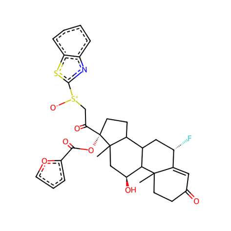 CC12CCC(=O)C=C1[C@@H](F)CC1C2[C@@H](O)CC2(C)C1CC[C@]2(OC(=O)c1ccco1)C(=O)C[S+]([O-])c1nc2ccccc2s1